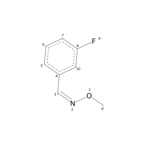 CO/N=[C]\c1cccc(F)c1